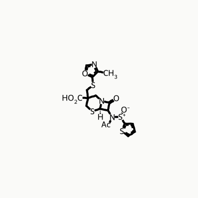 CC(=O)N(C1C(=O)N2CC(CSc3ocnc3C)(C(=O)O)CS[C@H]12)[S+]([O-])c1cccs1